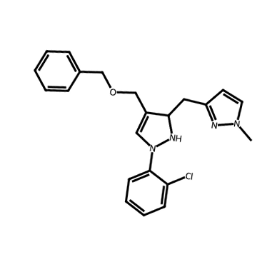 Cn1ccc(CC2NN(c3ccccc3Cl)C=C2COCc2ccccc2)n1